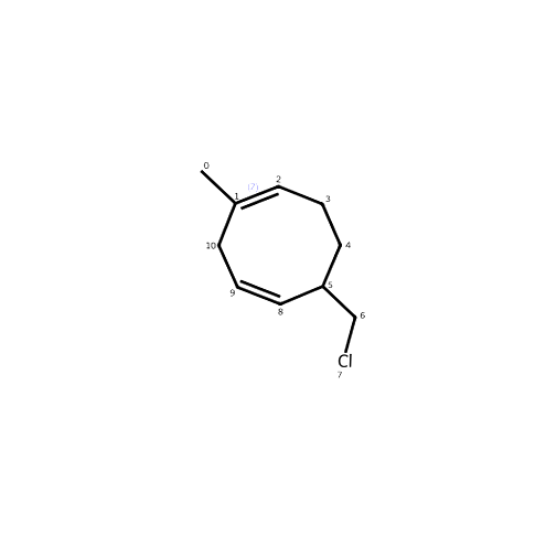 C/C1=C/CCC(CCl)C=CC1